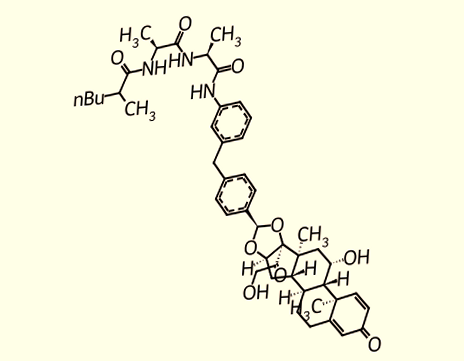 CCCCC(C)C(=O)N[C@@H](C)C(=O)N[C@@H](C)C(=O)Nc1cccc(Cc2ccc([C@@H]3O[C@@H]4C[C@H]5[C@@H]6CCC7=CC(=O)C=C[C@]7(C)[C@H]6[C@@H](O)C[C@]5(C)[C@]4(C(=O)CO)O3)cc2)c1